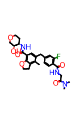 Cc1c(Cc2ccc(C(=O)NCC(=O)N(C)C)c(F)c2)cc(C(=O)N[C@H]2CCOC[C@@H]2O)c2c1CCO2